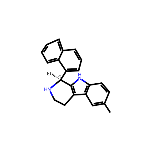 CC[C@@]1(c2cccc3ccccc23)NCCc2c1[nH]c1ccc(C)cc21